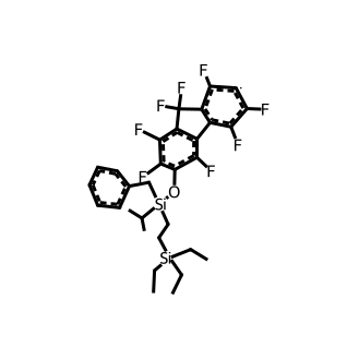 CC[Si](CC)(CC)CC[Si](Cc1ccccc1)(Oc1c(F)c(F)c2c(c1F)-c1c(F)c(F)[c]c(F)c1C2(F)F)C(C)C